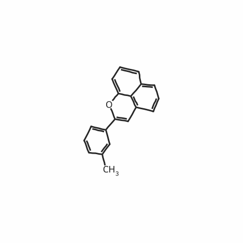 Cc1cccc(C2=Cc3cccc4cccc(c34)O2)c1